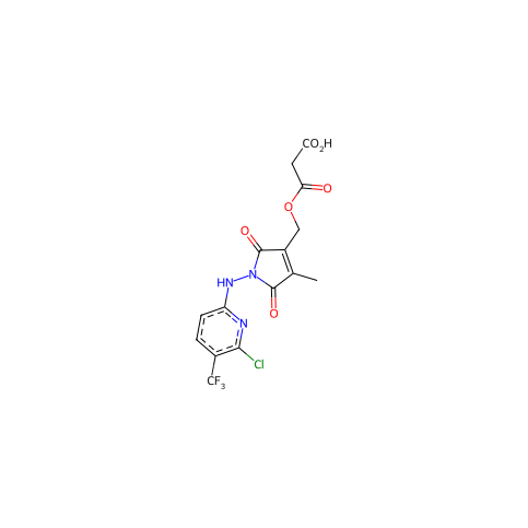 CC1=C(COC(=O)CC(=O)O)C(=O)N(Nc2ccc(C(F)(F)F)c(Cl)n2)C1=O